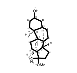 COC1(C)CC[C@H]2[C@@H]3CCC4CC(O)CC[C@]4(C)[C@@H]3CC[C@@]21C